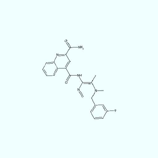 C=N/C(NC(=O)c1cc(C(N)=O)nc2ccccc12)=C(/C)N(C)Cc1cccc(F)c1